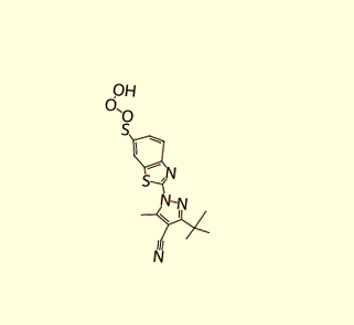 Cc1c(C#N)c(C(C)(C)C)nn1-c1nc2ccc(SOOO)cc2s1